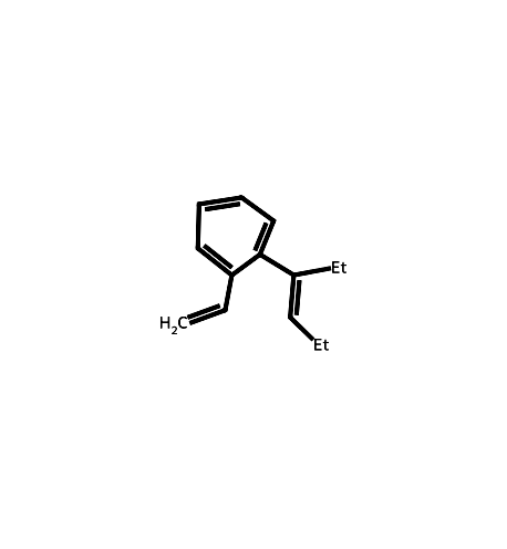 C=Cc1ccccc1C(=CCC)CC